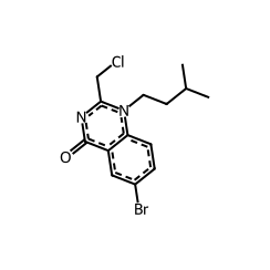 CC(C)CCn1c(CCl)nc(=O)c2cc(Br)ccc21